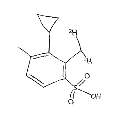 [2H]C([2H])c1c(S(=O)(=O)O)ccc(C)c1C1CC1